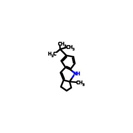 CC12CCCC1=Cc1cc(C(C)(C)C)ccc1N2